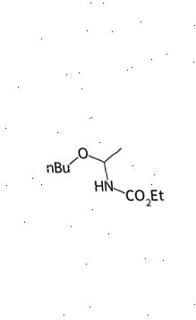 CCCCOC(C)NC(=O)OCC